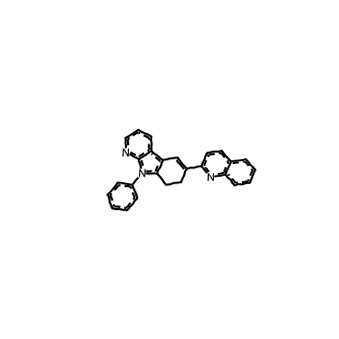 C1=C(c2ccc3ccccc3n2)CCc2c1c1cccnc1n2-c1ccccc1